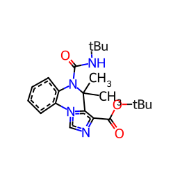 CC(C)(C)NC(=O)N1c2ccccc2-n2cnc(C(=O)OC(C)(C)C)c2C1(C)C